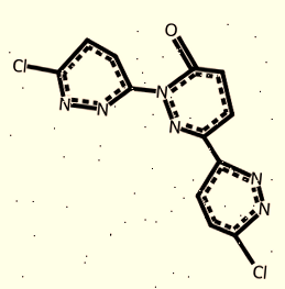 O=c1ccc(-c2ccc(Cl)nn2)nn1-c1ccc(Cl)nn1